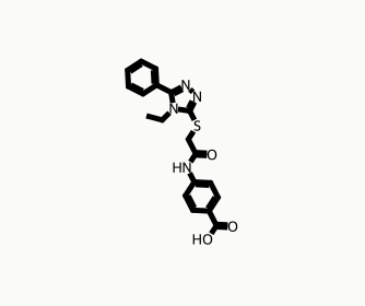 CCn1c(SCC(=O)Nc2ccc(C(=O)O)cc2)nnc1-c1ccccc1